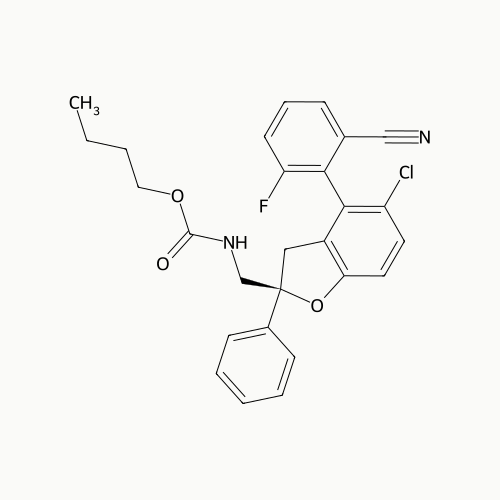 CCCCOC(=O)NC[C@@]1(c2ccccc2)Cc2c(ccc(Cl)c2-c2c(F)cccc2C#N)O1